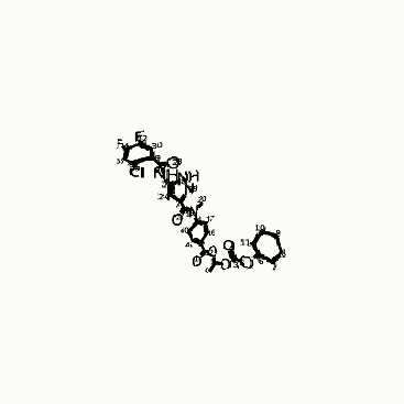 CC(OC(=O)OC1CCCCC1)OC(=O)c1ccc(N(C)C(=O)c2cc(NC(=O)c3cc(F)c(F)cc3Cl)[nH]n2)cc1